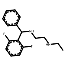 CCNCCNC(c1ccccc1)c1c(F)cccc1F